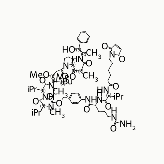 CC[C@H](C)[C@@H]([C@@H](CC(=O)N1CCC[C@H]1[C@H](OC)[C@@H](C)C(=O)N[C@H](C)[C@@H](O)c1ccccc1)OC)N(C)C(=O)[C@@H](NC(=O)[C@H](C(C)C)N(C)C(=O)OCc1ccc(NC(=O)C(CCCNC(N)=O)NC(=O)[C@@H](NC(=O)CCCCCN2C(=O)C=CC2=O)C(C)C)cc1)C(C)C